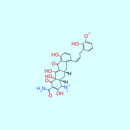 COc1cccc(C/C=C\c2ccc(O)c3c2C[C@@H]2C[C@@H]4[C@@H](N(C)C)C(O)=C(C(N)=O)C(=O)[C@]4(O)C(O)=C2C3=O)c1O